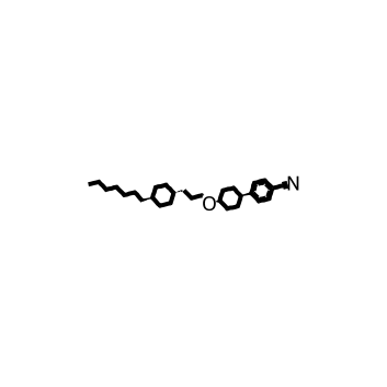 CCCCCCC[C@H]1CC[C@H](CCCO[C@H]2CC[C@H](c3ccc(C#N)cc3)CC2)CC1